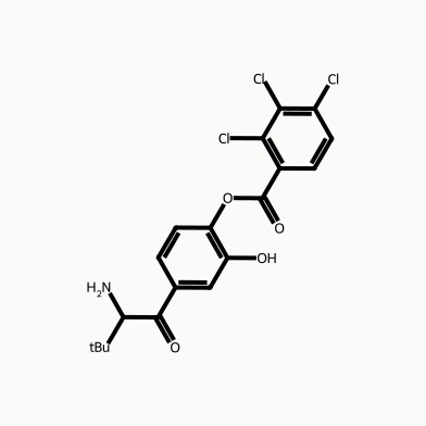 CC(C)(C)C(N)C(=O)c1ccc(OC(=O)c2ccc(Cl)c(Cl)c2Cl)c(O)c1